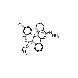 CCOC(=O)[C@@H]1c2ccccc2C(=O)N([C@H]2CCCC[C@@H]2N=NN)[C@H]1c1ccc(Cl)cc1Cl